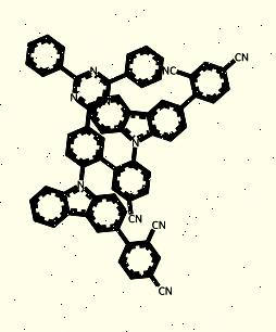 N#Cc1ccc(-c2ccc3c(c2)c2ccccc2n3-c2ccc(C#N)cc2-c2cc(-c3nc(-c4ccccc4)nc(-c4ccccc4)n3)ccc2-n2c3ccccc3c3cc(-c4ccc(C#N)cc4C#N)ccc32)c(C#N)c1